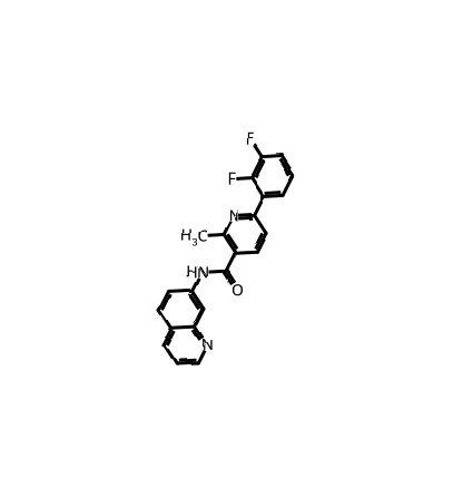 Cc1nc(-c2cccc(F)c2F)ccc1C(=O)Nc1ccc2cccnc2c1